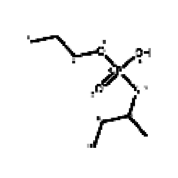 CCCOP(=O)(O)SC(C)CC